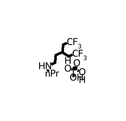 CCCNCCC(CC(F)(F)F)CC(F)(F)F.O=P(O)(O)O